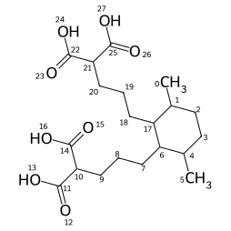 CC1CCC(C)C(CCCC(C(=O)O)C(=O)O)C1CCCC(C(=O)O)C(=O)O